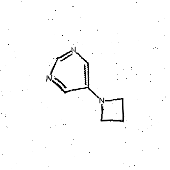 [c]1ncc(N2CCC2)cn1